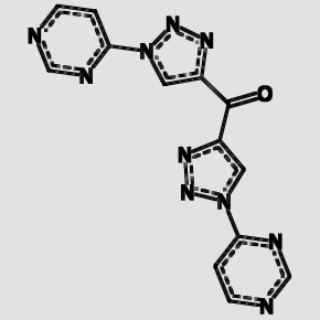 O=C(c1cn(-c2ccncn2)nn1)c1cn(-c2ccncn2)nn1